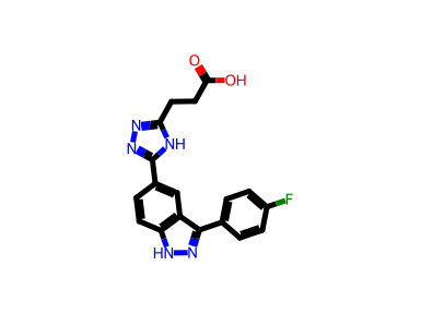 O=C(O)CCc1nnc(-c2ccc3[nH]nc(-c4ccc(F)cc4)c3c2)[nH]1